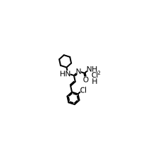 Cl.NC(=O)/N=C(\C=C\c1ccccc1Cl)NC1CCCCC1